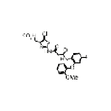 COc1ccccc1Oc1cc(F)ccc1NC(=O)CC(=O)Nc1nc(CC(=O)O)c(Cl)s1